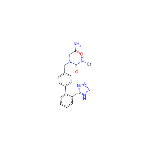 CCNC(=O)N(CC(N)=O)Cc1ccc(-c2ccccc2-c2nnn[nH]2)cc1